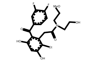 CCc1c(O)cc(O)c(C(=O)c2ccc(F)c(F)c2)c1CC(=O)N(CCO)CCOC